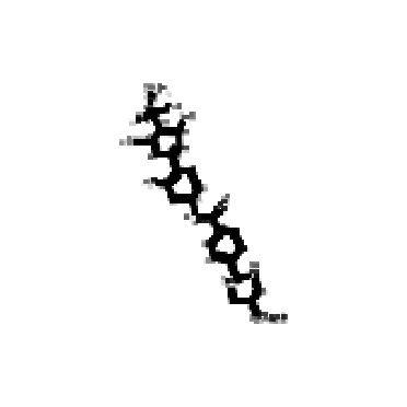 CCCCCC1COC(c2ccc(C(=O)Oc3ccc(-c4cc(F)c(C(F)(F)OC(F)(F)F)c(F)c4)c(F)c3)cc2)OC1